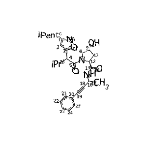 CCCC(C)c1cc(C(C(=O)N2C[C@H](O)C[C@H]2C(=O)N[C@@H](C)C#Cc2ccccc2)C(C)C)on1